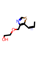 C/C=C\c1scnc1COCCO